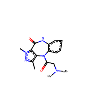 CCCN(CCC)CC(=O)N1c2ccccc2NC(=O)c2c1c(C)nn2C